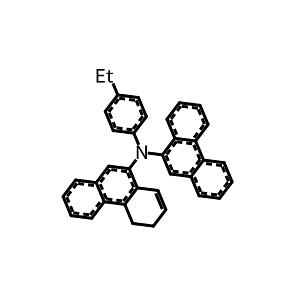 CCc1ccc(N(c2cc3ccccc3c3c2C=CCC3)c2cc3ccccc3c3ccccc23)cc1